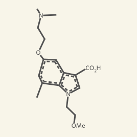 COCCn1cc(C(=O)O)c2cc(OCCN(C)C)cc(C)c21